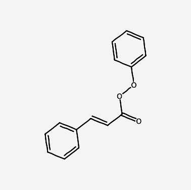 O=C(C=Cc1ccccc1)OOc1ccccc1